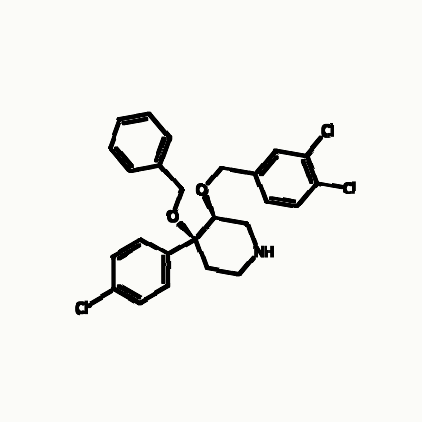 Clc1ccc([C@@]2(OCc3ccccc3)CCNC[C@@H]2OCc2ccc(Cl)c(Cl)c2)cc1